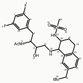 CC(=O)NC(Cc1cc(F)cc(F)c1)C(O)CNC1c2cc(CC(C)(C)C)ccc2CCC1NS(C)(=O)=O